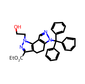 CCOC(=O)c1nn(CCO)c2c1CCc1c-2cnn1C(c1ccccc1)(c1ccccc1)c1ccccc1